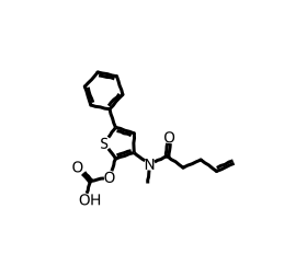 C=CCCC(=O)N(C)c1cc(-c2ccccc2)sc1OC(=O)O